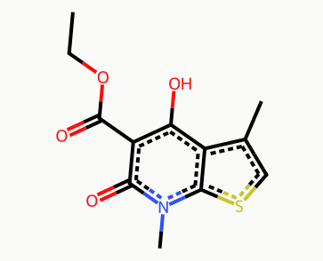 CCOC(=O)c1c(O)c2c(C)csc2n(C)c1=O